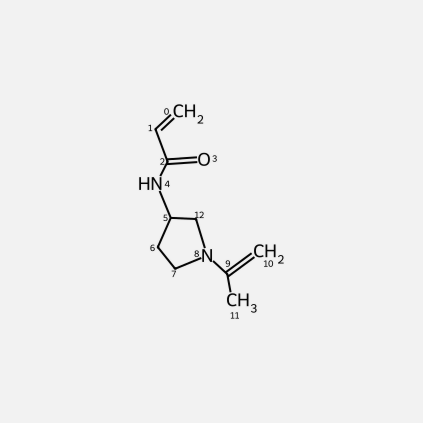 C=CC(=O)NC1CCN(C(=C)C)C1